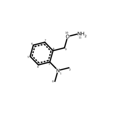 CN(C)c1ccccc1CON